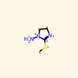 CSC1=NCCN1N